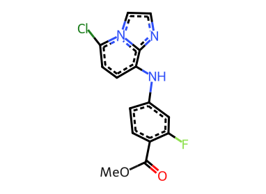 COC(=O)c1ccc(Nc2ccc(Cl)n3ccnc23)cc1F